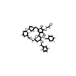 CCc1ccc(Cc2cc(C3O[C@H](COCc4ccccc4)C[C@H](OCc4ccccc4)[C@H]3OCc3ccccc3)c(Br)c(OCCCl)c2Cl)cc1